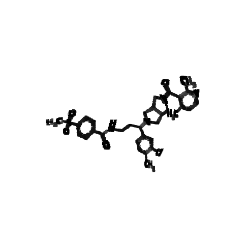 Cc1ccc(C(CCNC(=O)c2ccc(S(C)(=O)=O)cc2)N2CC3CN(C(=O)c4c(C)ccnc4C)CC3C2)cc1Cl